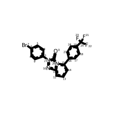 O=c1n(-c2ccc(Br)cc2)nc2cccc(-c3ccc(C(F)(F)F)cc3)n12